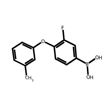 Cc1cccc(Oc2ccc(B(O)O)cc2F)c1